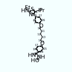 CCNc1nc(-c2ccc(OCCCCCOc3ccc(C(=N)NO)cc3)cc2)c(C(C)C)s1